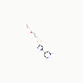 CCOC(=O)CCNS(=O)(=O)c1c[nH]c(-c2ccnc(Cl)c2)c1